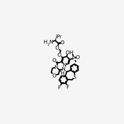 CC(C)[C@H](N)C(=O)OCOC1=C2C(=O)N3CCOC[C@H]3N([C@@H]3c4ccccc4SCc4c3ccc(F)c4F)N2C=C(P(C)(C)=O)C1O